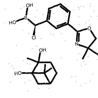 CC1(C)COC(c2cccc([C@@H](Cl)B(O)O)c2)=N1.CC1(O)CCC2CC1(O)C2(C)C